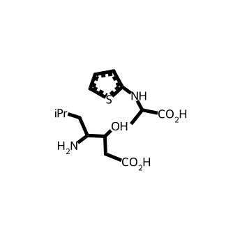 CC(C)CC(N)C(O)CC(=O)O.CC(Nc1cccs1)C(=O)O